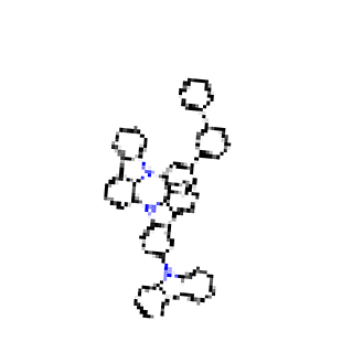 c1ccc(-c2cccc(-c3cccc(-n4c5ccccc5c5cccc(-n6c7ccccc7c7cc(-n8c9ccccc9c9ccccc98)ccc76)c54)c3)c2)cc1